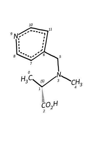 C[C@@H](C(=O)O)N(C)Cc1ccncc1